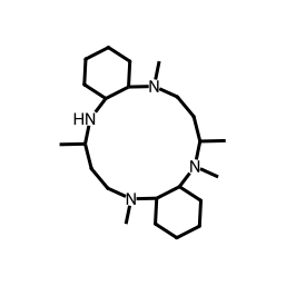 CC1CCN(C)C2CCCCC2N(C)C(C)CCN(C)C2CCCCC2N1